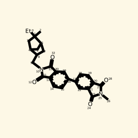 CCC1(C)CC2CC1CC2CN1C(=O)c2ccc(-c3ccc4c(c3)C(=O)N(C)C4=O)cc2C1=O